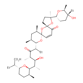 CCC(C(=O)[C@@H](C)[C@@H](O)[C@H](C)[C@@H]1O[C@@H](C(CC)C(=O)O)CC[C@@H]1C)[C@H]1O[C@]2(C=CC(=O)[C@]3(CC[C@@](C)([C@H]4CC[C@](O)(CC)[C@H](C)O4)O3)O2)[C@H](C)C[C@@H]1C